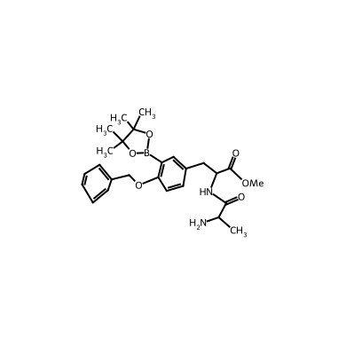 COC(=O)C(Cc1ccc(OCc2ccccc2)c(B2OC(C)(C)C(C)(C)O2)c1)NC(=O)C(C)N